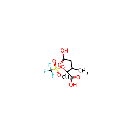 CC(CC(=O)O)[C@](C)(OS(=O)(=O)C(F)(F)F)C(=O)O